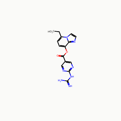 N=C(N)Nc1ncc(C(=O)Oc2ccc(CC(=O)O)n3ccnc23)cn1